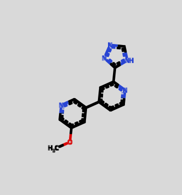 COc1cncc(-c2ccnc(-c3nnc[nH]3)c2)c1